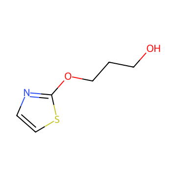 OCCCOc1nccs1